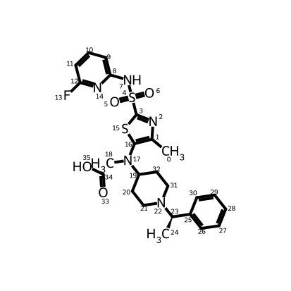 Cc1nc(S(=O)(=O)Nc2cccc(F)n2)sc1N(C)C1CCN([C@H](C)c2ccccc2)CC1.O=CO